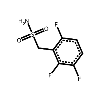 NS(=O)(=O)Cc1c(F)ccc(F)c1F